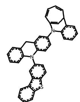 C1=CC2=CC(C=C1)c1ccccc1N2c1ccc2c(c1)Cc1ccccc1N2c1ccc2sc3ccccc3c2c1